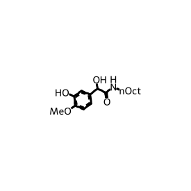 CCCCCCCCNC(=O)C(O)c1ccc(OC)c(O)c1